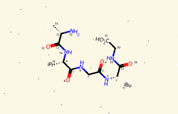 CC[C@H](C)[C@H](NC(=O)CNC(=O)[C@@H](NC(=O)[C@H](C)N)C(C)C)C(=O)NCC(=O)O